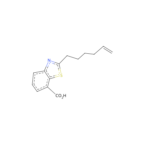 C=CCCCCc1nc2cccc(C(=O)O)c2s1